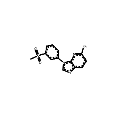 CS(=O)(=O)c1cccc(-n2cnc3ccc(C#N)nc32)c1